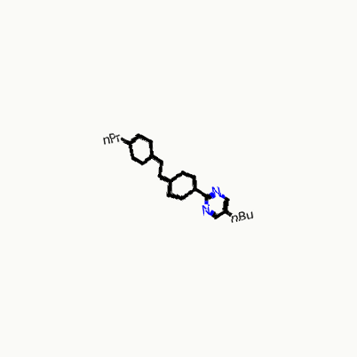 CCCCc1cnc(C2CCC(CCC3CCC(CCC)CC3)CC2)nc1